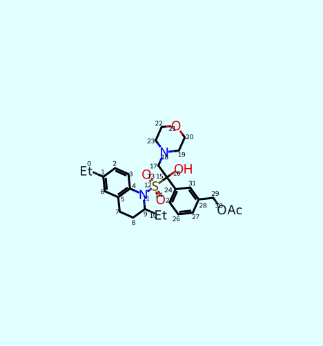 CCc1ccc2c(c1)CCC(CC)N2S(=O)(=O)C(O)(CN1CCOCC1)c1cccc(COC(C)=O)c1